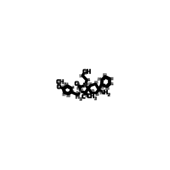 COc1ccc(CN2C(=O)N(CCO)C3(CCC(N)(c4ccccc4)CC3)C2(C)C)cc1